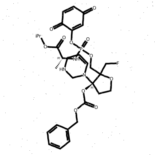 CC(C)OC(=O)[C@@H](C)NP(=O)(OCC1(CF)OCC[C@]1(OC(=O)OCc1ccccc1)N1C=CCNC1)OC1=CC(=O)C=CC1=O